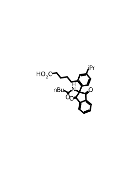 CCCCC(=O)NC1(c2ccc(C(C)C)cc2CCCCC(=O)O)C(=O)c2ccccc2C1=O